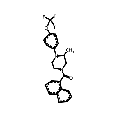 CC1CN(C(=O)c2cccc3ccccc23)CCN1c1ccc(OC(F)(F)F)cc1